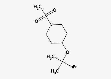 CCCC(C)(C)OC1CCN(S(C)(=O)=O)CC1